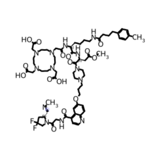 C/N=C/[C@H]1CC(F)(F)CN1C(=O)CNC(=O)c1ccnc2ccc(OCCCN3CCN(C(=O)[C@H](CC(=O)OC)NC(=O)[C@H](CCCCNC(=O)CCCc4ccc(C)cc4)NC(=O)CN4CCN(CC(=O)O)CCN(CC(=O)O)CCN(CC(=O)O)CC4)CC3)cc12